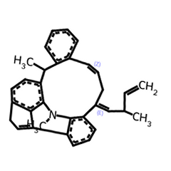 C=CC(C)/C=C1\C/C=C\c2ccccc2C(C)c2ccc3c4c2N(C)c2c(cccc21)C4=CC3